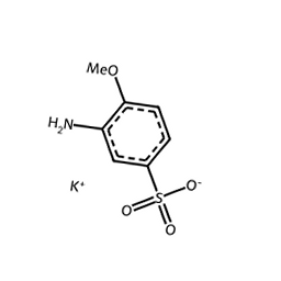 COc1ccc(S(=O)(=O)[O-])cc1N.[K+]